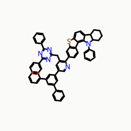 c1ccc(-c2cc(-c3ccccc3)cc(-c3cnc(-c4ccc5c(c4)sc4ccc6c(c45)N(c4ccccc4)C4CCCCC64)c(Cc4nc(-c5ccccc5)nc(-c5ccccc5)n4)c3)c2)cc1